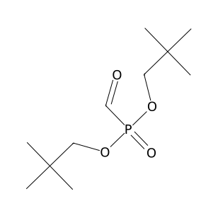 CC(C)(C)COP(=O)(C=O)OCC(C)(C)C